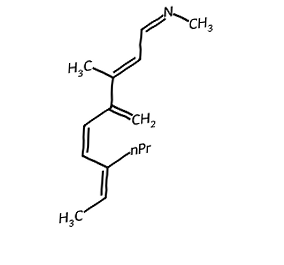 C=C(/C=C\C(=C/C)CCC)/C(C)=C/C=N\C